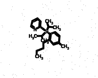 CCCCc1cc(C)ccc1[Si](c1ccccn1)(C(C)C)C(C)C